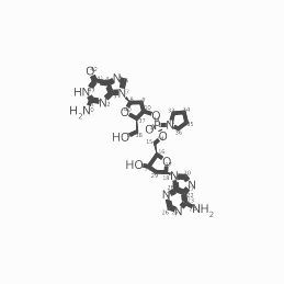 Nc1nc2c(ncn2[C@H]2CC(OP(=O)(OC[C@H]3O[C@@H](n4cnc5c(N)ncnc54)CC3O)N3CCCC3)[C@@H](CO)O2)c(=O)[nH]1